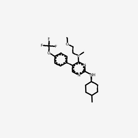 COCCN(C)c1nc(NC2CCC(C)CC2)ncc1-c1ccc(OC(F)(F)F)cc1